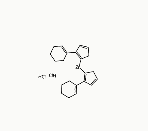 C1=CC(C2=CCCCC2)=[C]([Zr][C]2=C(C3=CCCCC3)C=CC2)C1.Cl.Cl